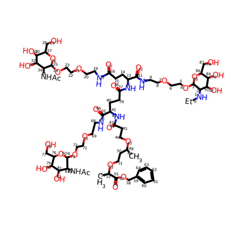 CCNC1C(OCCOCCNC(=O)C(CCC(=O)NCCOCCOC2OC(CO)C(O)C(O)C2NC(C)=O)NC(=O)CCC(NC(=O)CCOC(C)CCOC(C)C(=O)OCc2ccccc2)C(=O)NCCOCCOC2OC(CO)C(O)C(O)C2NC(C)=O)OC(CO)C(O)C1O